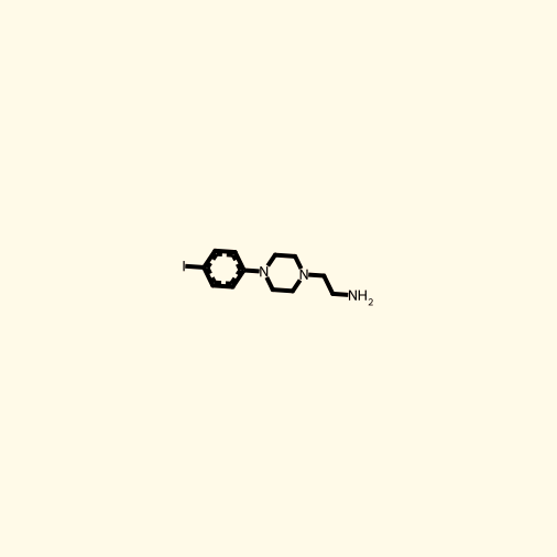 NCCN1CCN(c2ccc(I)cc2)CC1